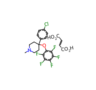 CN1CCC(Oc2c(F)c(F)c(F)c(F)c2F)(c2ccc(Cl)cc2)CC1.O=C(O)C=CC(=O)O